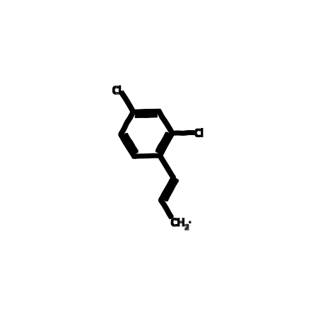 [CH2]/C=C/c1ccc(Cl)cc1Cl